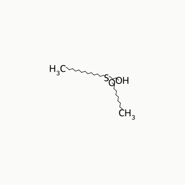 CCCCCCCCCCCCCCSCC(CO)OCCCCCCCCCC